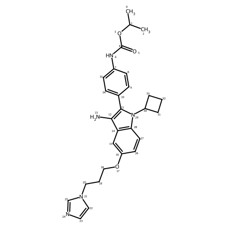 CC(C)OC(=O)Nc1ccc(-c2c(N)c3cc(OCCCn4ccnc4)ccc3n2C2CCC2)cc1